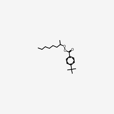 CCCCCC[C](C)OOC(=O)c1ccc(C(C)(C)C)cc1